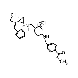 CCC(=Cc1ccccc1)C1C[C@@H]1NCC1CCC(NCc2ccc(C(=O)OC)cc2)CC1.Cl.Cl